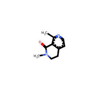 Cc1nccc2c1C(=O)N(C)CC2